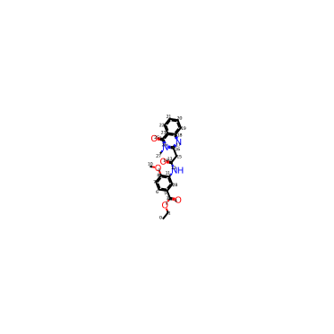 CCOC(=O)c1ccc(OC)c(NC(=O)Cc2nc3ccccc3c(=O)n2C)c1